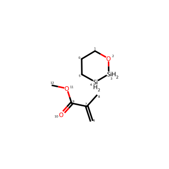 C1CO[SiH2][SiH2]C1.C=C(C)C(=O)OC